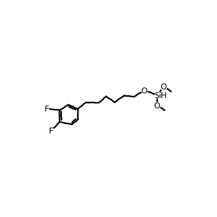 CO[SiH](OC)OCCCCCCc1ccc(F)c(F)c1